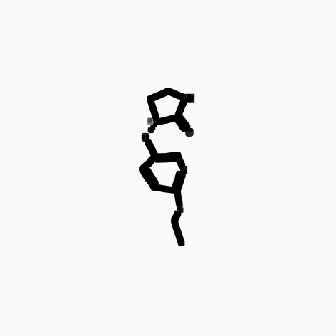 CCSc1ccc(O[C@@H]2CCNC2=O)cn1